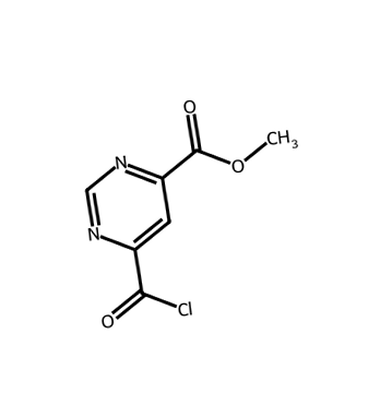 COC(=O)c1cc(C(=O)Cl)ncn1